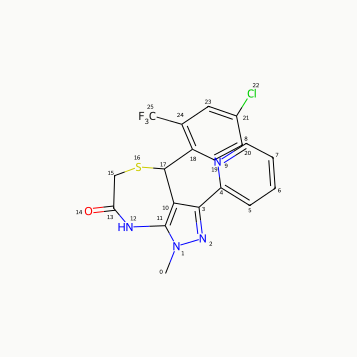 Cn1nc(-c2ccccn2)c2c1NC(=O)CSC2c1ccc(Cl)cc1C(F)(F)F